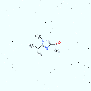 CC(=O)c1cn(C)c(C(C)C)n1